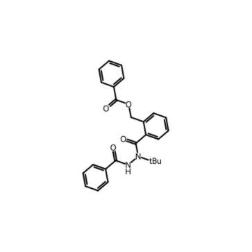 CC(C)(C)N(NC(=O)c1ccccc1)C(=O)c1ccccc1COC(=O)c1ccccc1